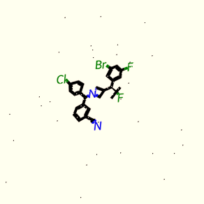 CC(C)(F)[C@H](c1cc(F)cc(Br)c1)C1CN(C(c2ccc(Cl)cc2)c2cccc(C#N)c2)C1